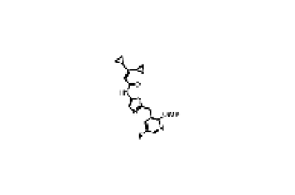 COc1ncc(F)cc1Cc1ncc(NC(=O)C=C(C2CC2)C2CC2)s1